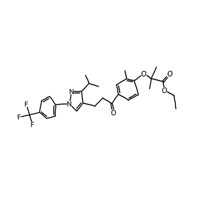 CCOC(=O)C(C)(C)Oc1ccc(C(=O)CCc2cn(-c3ccc(C(F)(F)F)cc3)nc2C(C)C)cc1C